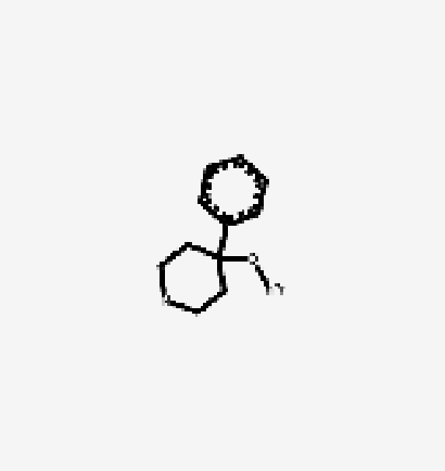 CCCOC1(c2ccccc2)CC[N]CC1